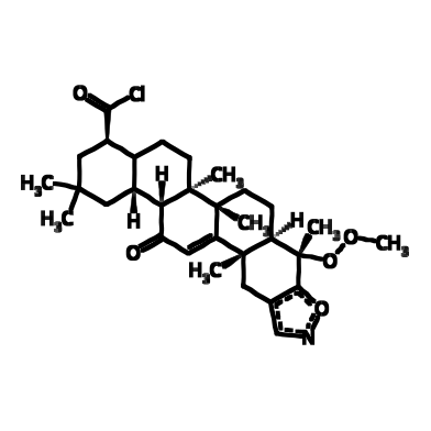 COO[C@]1(C)c2oncc2C[C@]2(C)C3=CC(=O)[C@@H]4[C@@H]5CC(C)(C)C[C@@H](C(=O)Cl)C5CC[C@@]4(C)[C@]3(C)CC[C@H]21